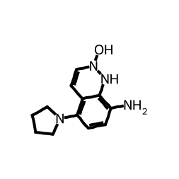 Nc1ccc(N2CCCC2)c2c1NN(O)C=C2